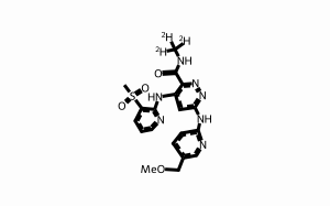 [2H]C([2H])([2H])NC(=O)c1nnc(Nc2ccc(COC)cn2)cc1Nc1ncccc1S(C)(=O)=O